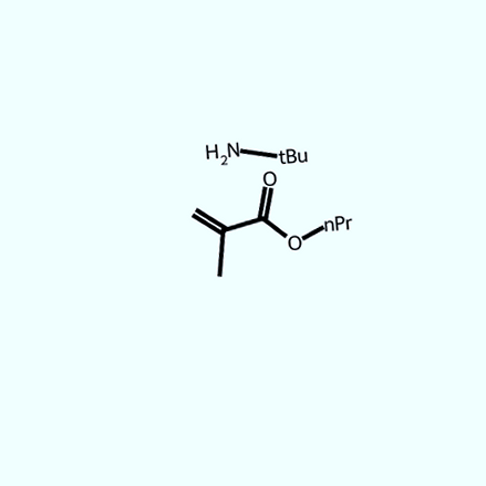 C=C(C)C(=O)OCCC.CC(C)(C)N